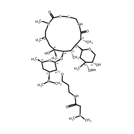 CO[C@]1(C)CC([C@H]2[C@H](C)[C@@H](O[C@@H]3O[C@H](C)C[C@H](N(C)C)[C@H]3OCCCNC(=O)CN(C)C)[C@](C)(O)C[C@@H](C)CN(C)C(=O)CCCNC(=O)[C@@H]2C)OC[C@@H]1O